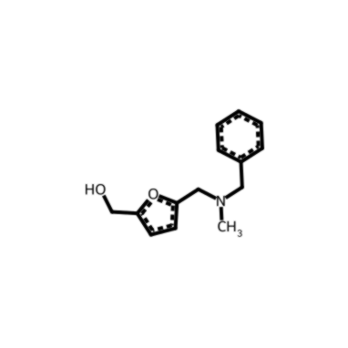 CN(Cc1ccccc1)Cc1ccc(CO)o1